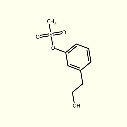 CS(=O)(=O)Oc1cccc(CCO)c1